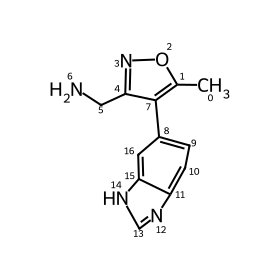 Cc1onc(CN)c1-c1ccc2nc[nH]c2c1